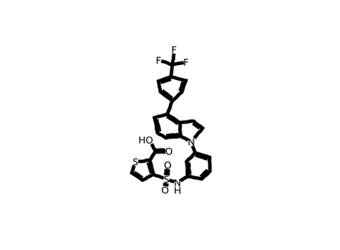 O=C(O)c1sccc1S(=O)(=O)Nc1cccc(-n2ccc3c(-c4ccc(C(F)(F)F)cc4)cccc32)c1